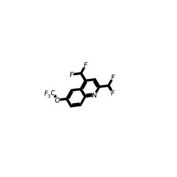 FC(F)c1cc(C(F)F)c2cc(OC(F)(F)F)ccc2n1